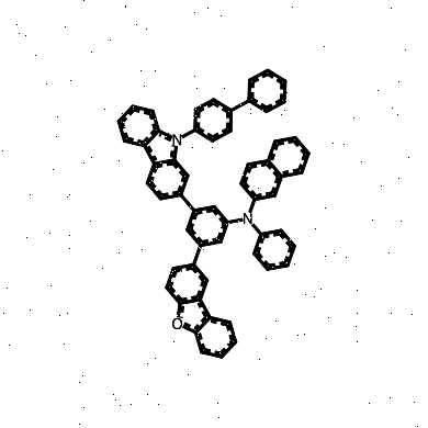 c1ccc(-c2ccc(-n3c4ccccc4c4ccc(-c5cc(-c6ccc7oc8ccccc8c7c6)cc(N(c6ccccc6)c6ccc7ccccc7c6)c5)cc43)cc2)cc1